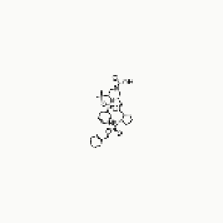 CC(C)(C)C1CN(C(=O)O)CC(/C=C/[C@H]2CCC[C@@H]2NC(=O)OCc2ccccc2)N1S(=O)(=O)c1ccccc1